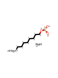 CCCCCCCCCCCCCCCO[SH](=O)=O.[NaH]